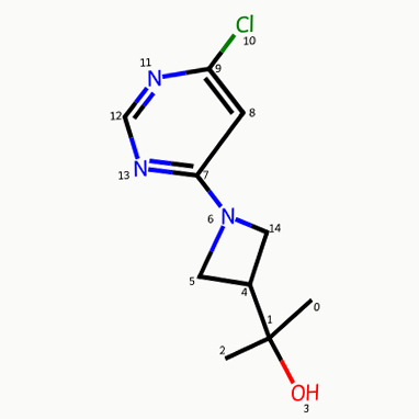 CC(C)(O)C1CN(c2cc(Cl)ncn2)C1